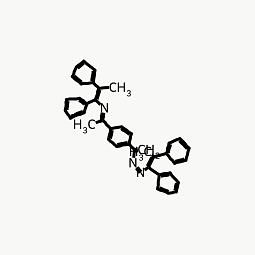 C=C(/N=N\C(=C(/C)c1ccccc1)c1ccccc1)c1ccc(/C(C)=N/C(=C(\C)c2ccccc2)c2ccccc2)cc1